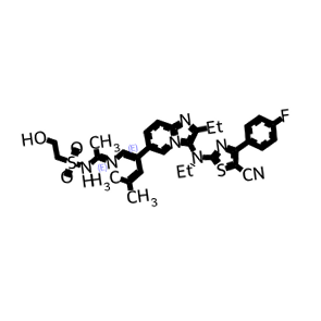 CCc1nc2ccc(/C(C=C(C)C)=C/N=C(\C)NS(=O)(=O)CCO)cn2c1N(CC)c1nc(-c2ccc(F)cc2)c(C#N)s1